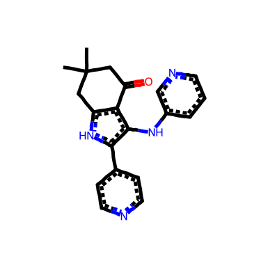 CC1(C)CC(=O)c2c([nH]c(-c3ccncc3)c2Nc2cccnc2)C1